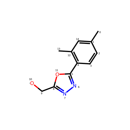 Cc1ccc(-c2nnc(C[O])o2)c(C)c1